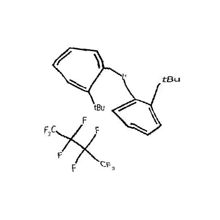 CC(C)(C)c1ccccc1[I+]c1ccccc1C(C)(C)C.FC(F)(F)C(F)(F)C(F)(F)C(F)(F)F